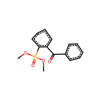 COP(=O)(OC)c1ccccc1C(=O)c1ccccc1